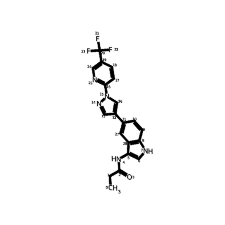 CCC(=O)Nc1c[nH]c2ccc(-c3cnn(-c4ccc(C(F)(F)F)cn4)c3)cc12